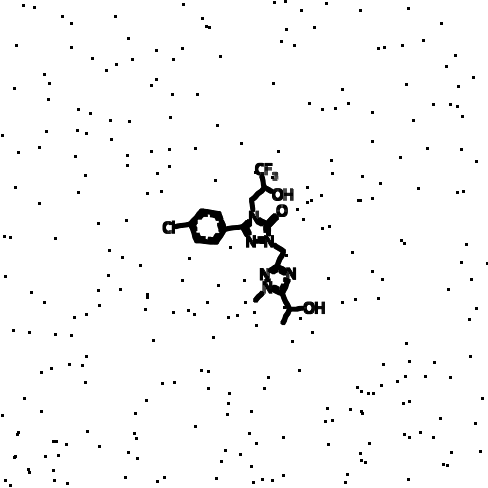 CC(O)c1nc(Cn2nc(-c3ccc(Cl)cc3)n(CC(O)C(F)(F)F)c2=O)nn1C